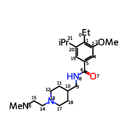 CCc1c(OC)cc(C(=O)NCC2CCN(CCNC)CC2)cc1C(C)C